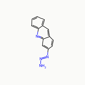 NN=Nc1ccc2cc3ccccc3nc2c1